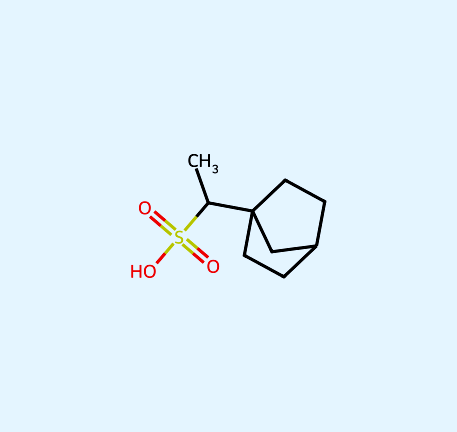 CC(C12CCC(CC1)C2)S(=O)(=O)O